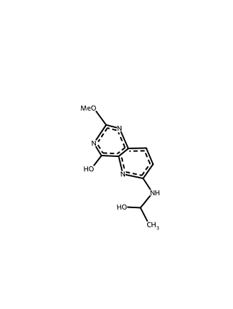 COc1nc(O)c2nc(NC(C)O)ccc2n1